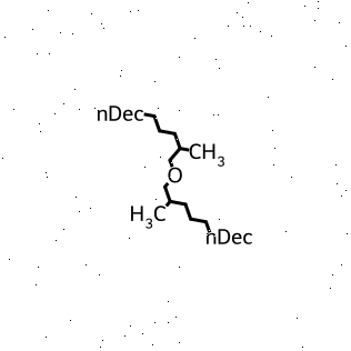 CCCCCCCCCCCCCC(C)COCC(C)CCCCCCCCCCCCC